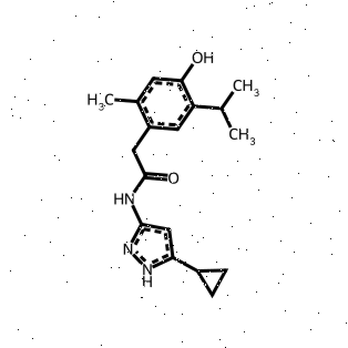 Cc1cc(O)c(C(C)C)cc1CC(=O)Nc1cc(C2CC2)[nH]n1